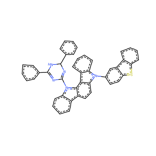 c1ccc(C2=NC(n3c4ccccc4c4ccc5c(c6ccccc6n5-c5ccc6sc7ccccc7c6c5)c43)=NC(c3ccccc3)N2)cc1